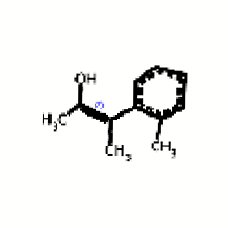 C/C(O)=C(\C)c1ccccc1C